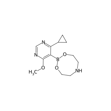 COc1ncnc(C2CC2)c1B1OCCNCCO1